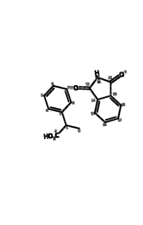 CC(C(=O)O)c1ccccc1.O=C1NC(=O)c2ccccc21